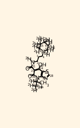 [2H]N(CCCN1C([2H])([2H])C([2H])([2H])C([2H])([2H])C([2H])([2H])C1([2H])[2H])C(=O)c1c(O)c2scnc2n(C([2H])(C)C([2H])([2H])[2H])c1=O